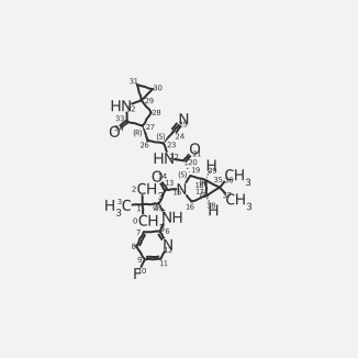 CC(C)(C)[C@H](Nc1ccc(F)cn1)C(=O)N1C[C@H]2[C@@H]([C@H]1C(=O)N[C@H](C#N)C[C@@H]1CC3(CC3)NC1=O)C2(C)C